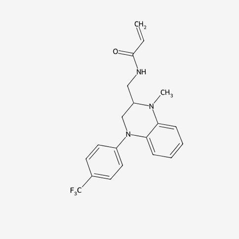 C=CC(=O)NCC1CN(c2ccc(C(F)(F)F)cc2)c2ccccc2N1C